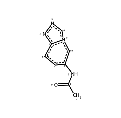 CC(=O)Nc1ccc2nncn2c1